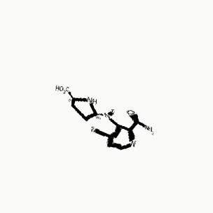 NC(=O)c1nccc(F)c1N(F)[C@@H]1CC[C@@H](C(=O)O)N1